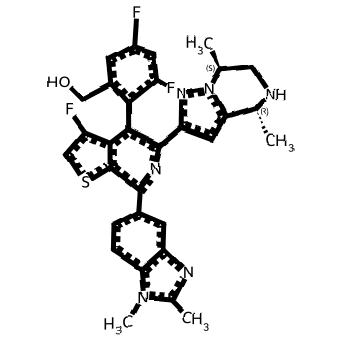 Cc1nc2cc(-c3nc(-c4cc5n(n4)[C@@H](C)CN[C@@H]5C)c(-c4c(F)cc(F)cc4CO)c4c(F)csc34)ccc2n1C